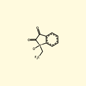 O=C1C(=O)[N+]([O-])(CC(F)(F)F)c2ccccc21